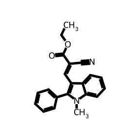 CCOC(=O)C(C#N)=Cc1c(-c2ccccc2)n(C)c2ccccc12